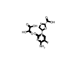 Nc1nc(=O)n([C@@H]2CS[C@H](C(=O)O)O2)cc1F.O=C(O)C(=O)O